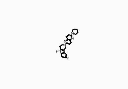 Fc1ccc2[nH]c3c(c2c1)CN(c1ccc2nc(N4CCCCC4)ccc2n1)CC3